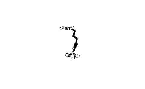 CCCCCCCCC#C[SiH](Cl)Cl